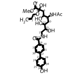 C=CCOC(O)(CC(O)C(CC(O)C(O)CNC(=O)c1ccc(-c2ccc(O)cc2)cc1)NC(C)=O)C(=O)OC